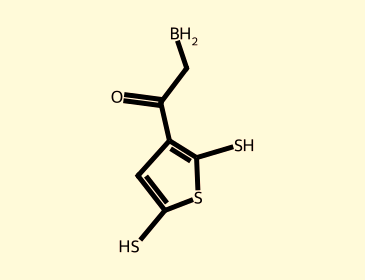 BCC(=O)c1cc(S)sc1S